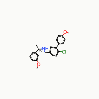 COc1ccc(-c2cc(CN[C@H](C)c3cccc(OC)c3)ccc2Cl)cc1